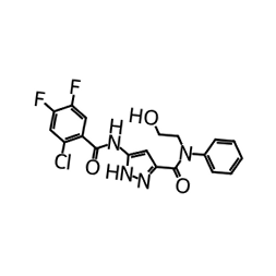 O=C(Nc1cc(C(=O)N(CCO)c2ccccc2)n[nH]1)c1cc(F)c(F)cc1Cl